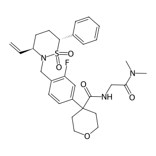 C=C[C@H]1CC[C@H](c2ccccc2)S(=O)(=O)N1Cc1ccc(C2(C(=O)NCC(=O)N(C)C)CCOCC2)cc1F